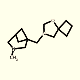 CN1CC2CC(CN3COC4(CCC4)C3)(C2)C1